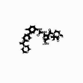 Cc1ccc(NC(=O)Nc2sc(C(C)(C)C)cc2C(=O)N2CCN(C)C(=O)C2(C)C)cc1-c1ccc(C(C)N2CCOCC2)nc1